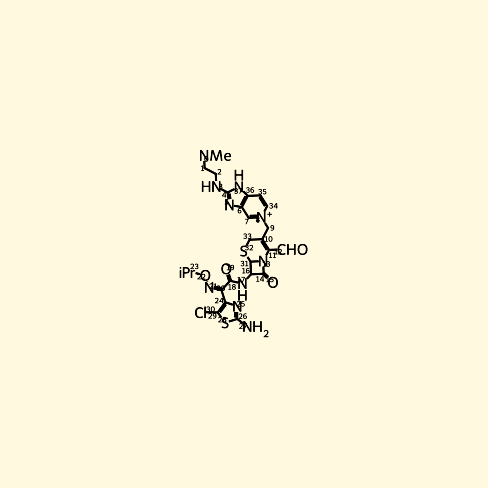 CNCCNc1nc2c[n+](CC3=C(C=O)N4C(=O)C(NC(=O)/C(=N\OC(C)C)c5nc(N)sc5Cl)C4SC3)ccc2[nH]1